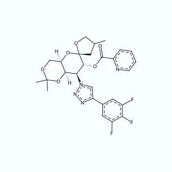 CC1CO[C@@]2(C1)O[C@@H]1COC(C)(C)O[C@@H]1[C@H](n1cc(-c3cc(F)c(F)c(F)c3)nn1)[C@H]2OC(=O)c1ccccn1